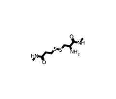 CNC(=O)CCSSCC(N)C(=O)NC